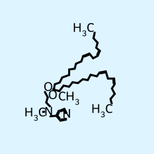 CCCCC/C=C\C/C=C\CCCCCCCC[C@@H](C)C1(CCCCCCCC/C=C\C/C=C\CCCCC)OCC(CCN(C)Cc2ccncc2)O1